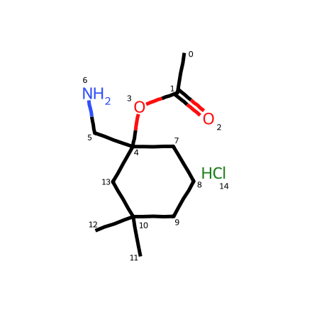 CC(=O)OC1(CN)CCCC(C)(C)C1.Cl